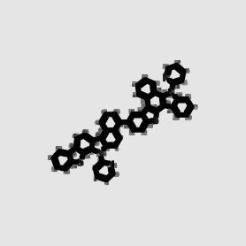 c1ccc(-n2c3ccc4c(-c5ccc6sc7c(c6c5)c5ccccc5c5c7c6ccccc6n5-c5ccccn5)cccc4c3c3ccc4c5ccccc5sc4c32)nc1